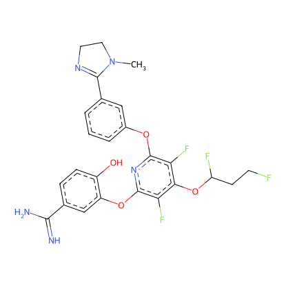 CN1CCN=C1c1cccc(Oc2nc(Oc3cc(C(=N)N)ccc3O)c(F)c(OC(F)CCF)c2F)c1